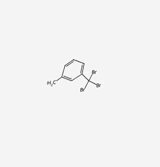 [CH2]c1cccc(C(Br)(Br)Br)c1